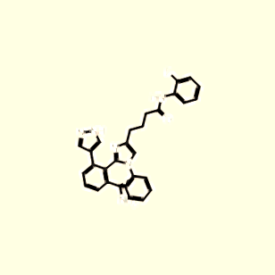 NC(=O)c1cccc(-c2cn[nH]c2)c1-c1nc(CCCC(=O)Nc2ccccc2F)cn1-c1ccccc1